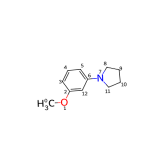 COc1cccc(N2CCCC2)c1